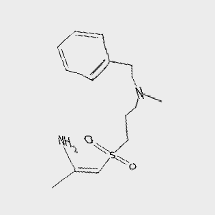 CC(N)=CS(=O)(=O)CCN(C)Cc1ccccc1